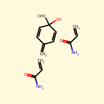 C=C1C=CC(O)(C=O)C=C1.C=CC(N)=O.C=CC(N)=O